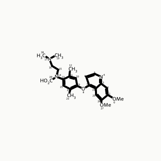 COc1cc2nccc(Oc3cc(C)c(N(CCN(C)C)C(=O)O)cc3C)c2cc1OC